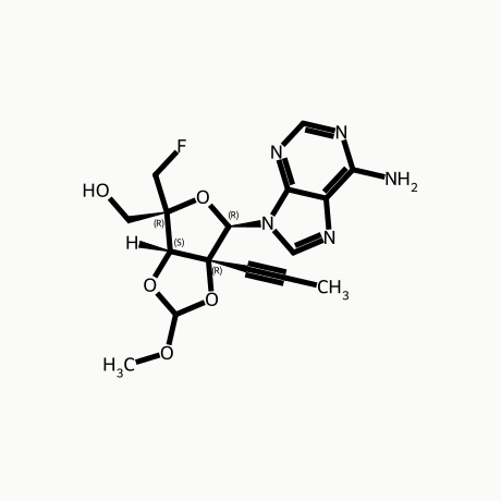 CC#C[C@@]12OC(OC)O[C@@H]1[C@](CO)(CF)O[C@H]2n1cnc2c(N)ncnc21